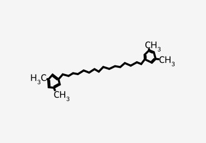 Cc1cc(C)cc(CCCCCCCCCCCCCCCCc2cc(C)cc(C)c2)c1